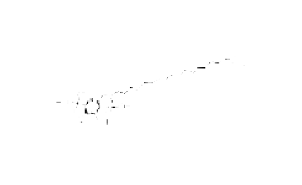 CCCCCCCCCCCCCCCCCCC(Cc1cc(C)c(O)c(C(C)(C)C)c1)C(=O)O